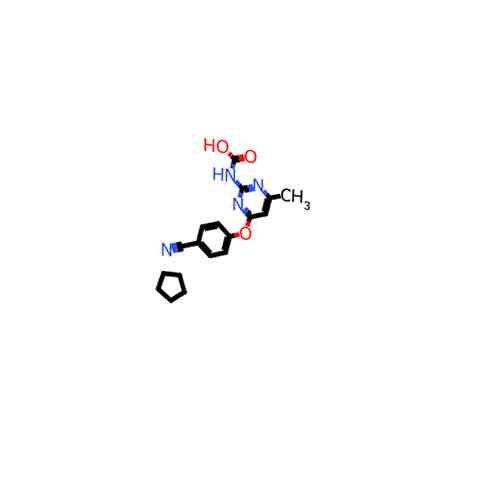 C1CCCC1.Cc1cc(Oc2ccc(C#N)cc2)nc(NC(=O)O)n1